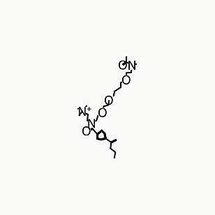 C=C(CCC)c1ccc(C(=O)N(CCOCCOCCCCOCCN(C)C(C)=O)CC[N+](C)(C)C)cc1